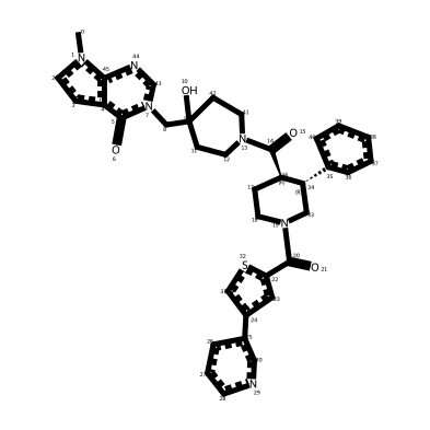 Cn1ccc2c(=O)n(CC3(O)CCN(C(=O)[C@@H]4CCN(C(=O)c5cc(-c6cccnc6)cs5)C[C@H]4c4ccccc4)CC3)cnc21